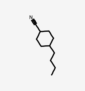 CCCCC1CCC(C#N)CC1